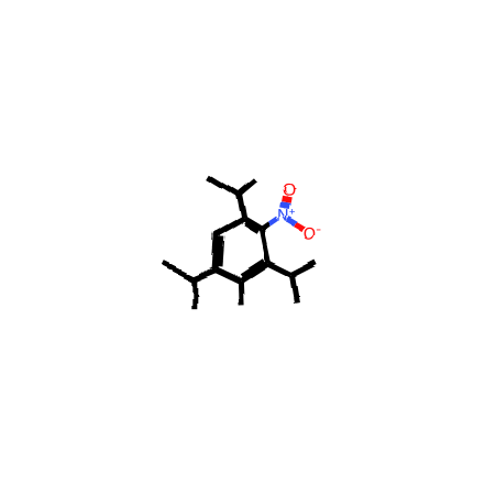 Cc1c(C(C)C)cc(C(C)C)c([N+](=O)[O-])c1C(C)C